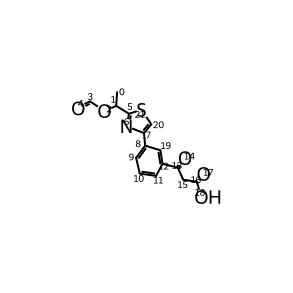 CC(OC=O)c1nc(-c2cccc(C(=O)CC(=O)O)c2)cs1